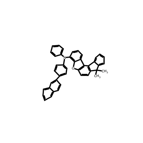 CC1(C)c2ccccc2-c2c1ccc1oc3c(N(c4ccccc4)c4ccc(-c5ccc6ccccc6c5)cc4)cccc3c21